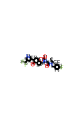 CC(N(Cc1ccc(F)cc1)C(=O)CN1C[C@]2(CCC3C(=O)C(c4cncc(C(F)F)c4)=CC=C32)OC1=O)C(F)(F)F